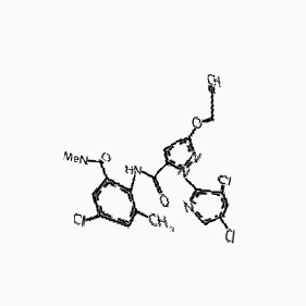 C#CCOc1cc(C(=O)Nc2c(C)cc(Cl)cc2C(=O)NC)n(-c2ncc(Cl)cc2Cl)n1